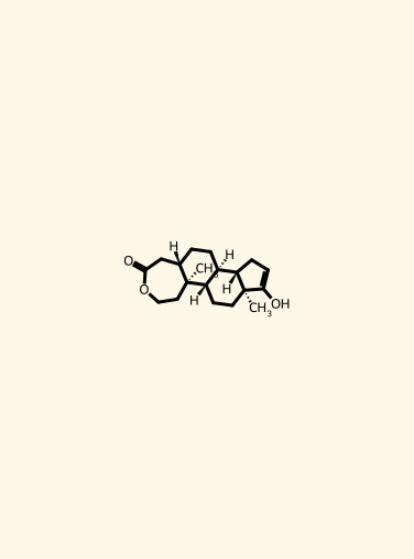 C[C@]12CCOC(=O)C[C@@H]1CC[C@@H]1[C@@H]2CC[C@]2(C)C(O)=CC[C@@H]12